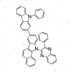 c1ccc(-c2nc3ccccc3nc2-n2c3ccc(-c4ccc5c6ccccc6n(-c6ccccc6)c5c4)cc3c3ccc4ccccc4c32)cc1